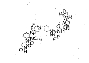 Cn1c(=O)n(C2CCC(=O)NC2=O)c2cccc(N3CC4(CCN(C[C@H]5CC[C@H](n6cc(NC(=O)c7cnn8ccc(N9C[C@H]%10C[C@@H]9CO%10)nc78)c(C(F)F)n6)CC5)CC4(F)F)C3)c21